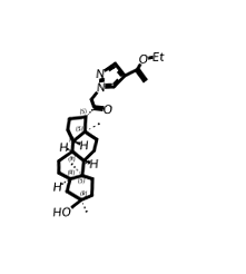 C=C(OCC)c1cnn(CC(=O)[C@H]2CC[C@H]3[C@@H]4CC[C@@H]5C[C@](C)(O)CC[C@]5(C)[C@H]4CC[C@]23C)c1